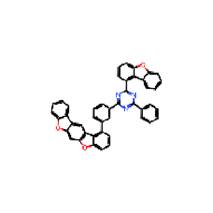 c1ccc(-c2nc(-c3cccc(-c4cccc5oc6cc7oc8ccccc8c7cc6c45)c3)nc(-c3cccc4oc5ccccc5c34)n2)cc1